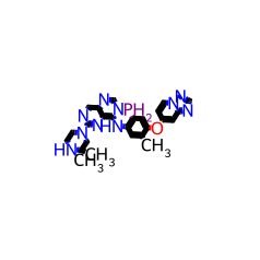 Cc1cc(Nc2ncnc3cnc(N4CCNC(C)(C)C4)nc23)c(P)cc1Oc1ccn2ncnc2c1